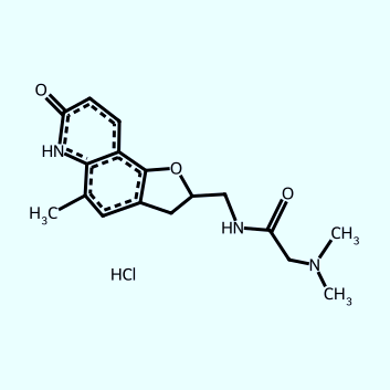 Cc1cc2c(c3ccc(=O)[nH]c13)OC(CNC(=O)CN(C)C)C2.Cl